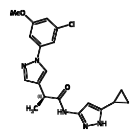 COc1cc(Cl)cc(-n2cc([C@H](C)C(=O)Nc3cc(C4CC4)[nH]n3)cn2)c1